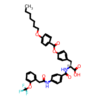 CCCCCCCOc1ccc(C(=O)Oc2ccc(C[C@H](NC(=O)c3ccc(NC(=O)Cc4ccccc4OC(F)(F)F)cc3)C(=O)O)cc2)cc1